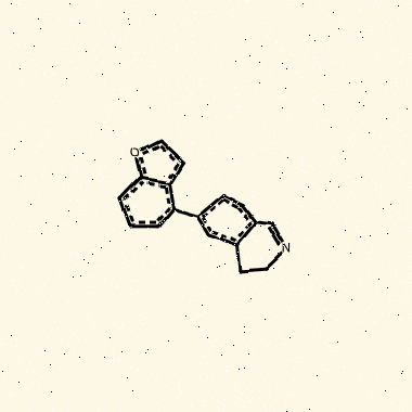 C1=NCCc2cc(-c3cccc4occc34)ccc21